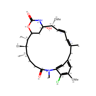 CC[C@H]1[C@H](C)C2C[C@@](O)(NC(=O)O2)[C@H](OC)/C=C/C=C(\C)Cc2cc(OC)c(Cl)c(c2)N(C)C(=O)CC[C@@H]1C